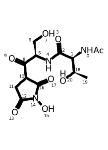 CC(=O)N[C@H](C(=O)N[C@H](CO)C(=O)C1CC(=O)N(O)C1=O)[C@@H](C)O